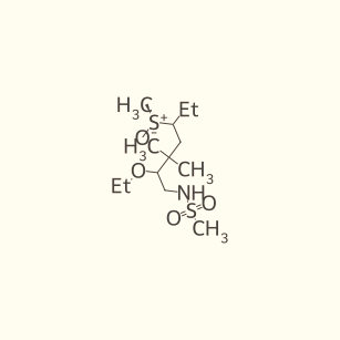 CCOC(CNS(C)(=O)=O)C(C)(C)CC(CC)[S@+](C)[O-]